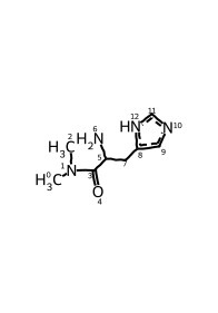 CN(C)C(=O)C(N)Cc1cnc[nH]1